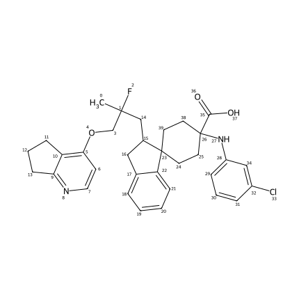 CC(F)(COc1ccnc2c1CCC2)CC1Cc2ccccc2C12CCC(Nc1cccc(Cl)c1)(C(=O)O)CC2